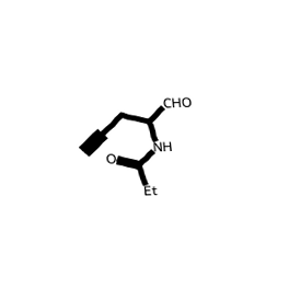 C#CCC(C=O)NC(=O)CC